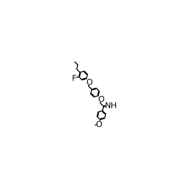 CCCc1ccc(OCc2ccc(OCC(=N)c3ccc(OC)cc3)cc2)cc1F